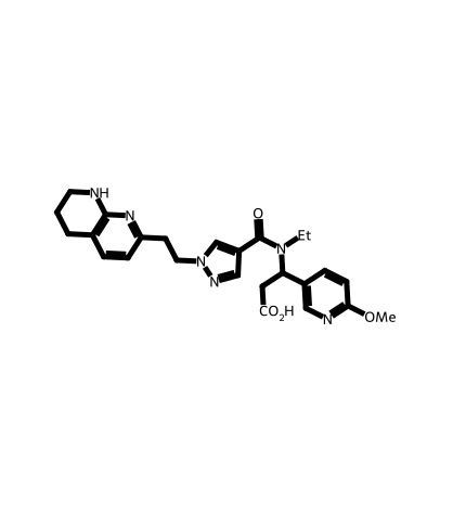 CCN(C(=O)c1cnn(CCc2ccc3c(n2)NCCC3)c1)C(CC(=O)O)c1ccc(OC)nc1